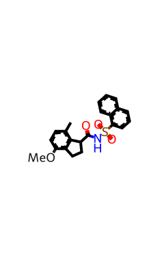 COc1ccc(C)c2c1CCC2C(=O)NS(=O)(=O)c1cccc2ccccc12